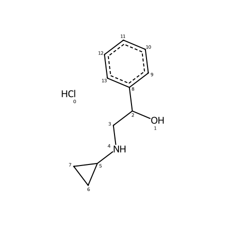 Cl.OC(CNC1CC1)c1ccccc1